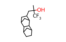 CC(O)(CC1CC2CC1C1C3CCC(C3)C21)C(F)(F)F